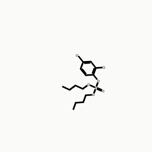 CCCCOP(=O)(OCCCC)Oc1ccc(Cl)cc1Cl